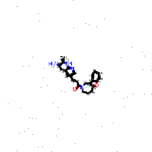 C=C1Nc2ncc(/C=C/C(=O)N3CCCc4oc5ccccc5c4C3)cc2CC1N